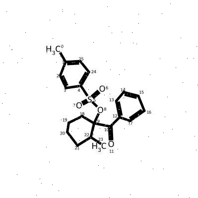 Cc1ccc(S(=O)(=O)OC2(C(=O)c3ccccc3)CCCCC2C)cc1